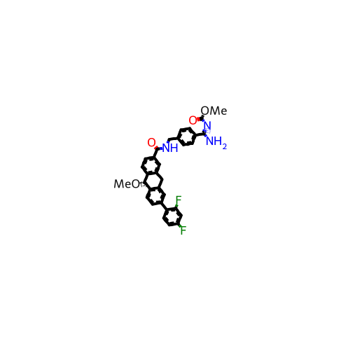 COC(=O)/N=C(/N)c1ccc(CNC(=O)c2ccc3c(c2)Cc2cc(-c4ccc(F)cc4F)ccc2[C@@H]3OC)cc1